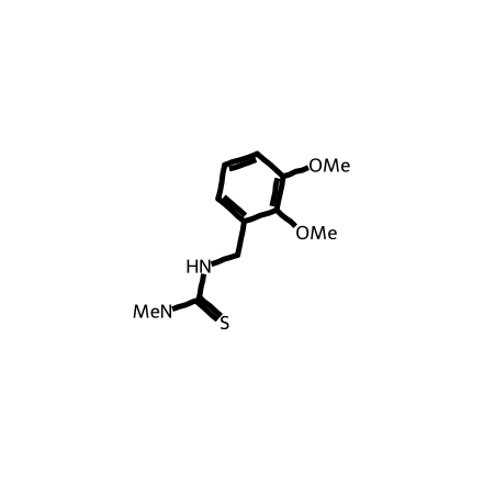 CNC(=S)NCc1cccc(OC)c1OC